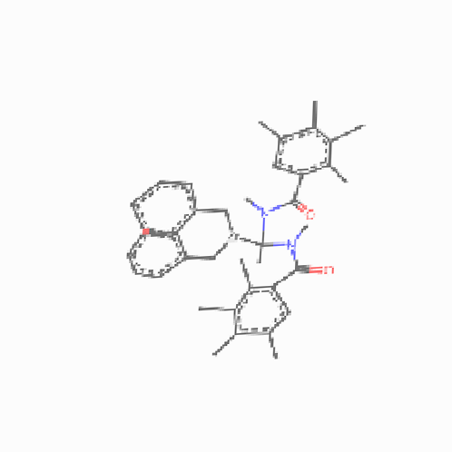 Cc1cc(C(=O)N(C)[C](C)(N(C)C(=O)c2cc(C)c(C)c(C)c2C)[Zr]([CH2]c2ccccc2)[CH2]c2ccccc2)c(C)c(C)c1C